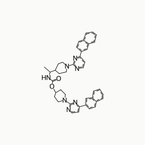 CC(NC(=O)OC1CCN(c2nccc(-c3ccc4ccccc4c3)n2)CC1)C1CCN(c2nccc(-c3ccc4ccccc4c3)n2)CC1